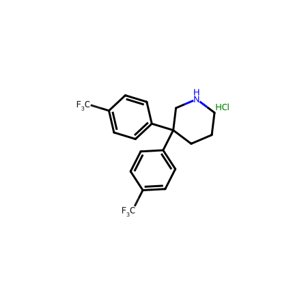 Cl.FC(F)(F)c1ccc(C2(c3ccc(C(F)(F)F)cc3)CCCNC2)cc1